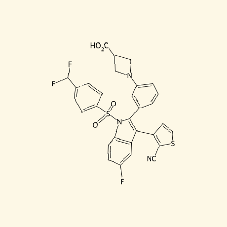 N#Cc1sccc1-c1c(-c2cccc(N3CC(C(=O)O)C3)c2)n(S(=O)(=O)c2ccc(C(F)F)cc2)c2ccc(F)cc12